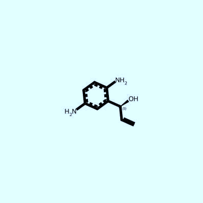 C=C[C@H](O)c1cc(N)ccc1N